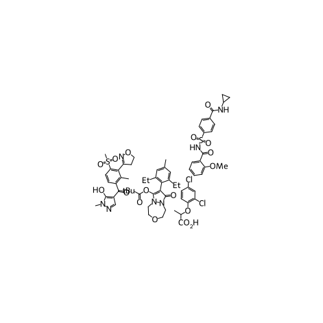 CC(Oc1ccc(Cl)cc1Cl)C(=O)O.CCc1cc(C)cc(CC)c1-c1c(OC(=O)C(C)(C)C)n2n(c1=O)CCOCC2.COc1ccccc1C(=O)NS(=O)(=O)c1ccc(C(=O)NC2CC2)cc1.Cc1c(C(=O)c2cnn(C)c2O)ccc(S(C)(=O)=O)c1C1=NOCC1